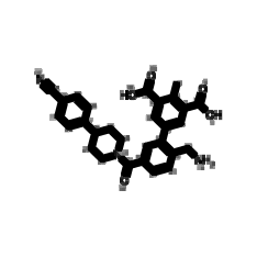 Cc1c(C(=O)O)cc(-c2cc(C(=O)N3CCC(c4ccc(C#N)cc4)CC3)ccc2CN)cc1C(=O)O